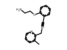 Cc1cccnc1C[N+]#Cc1ccccc1OCCN